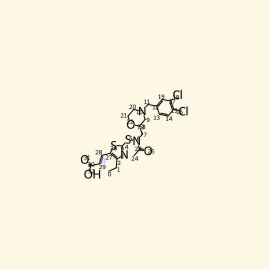 CCc1nc(SN(C[C@@H]2CN(Cc3ccc(Cl)c(Cl)c3)CCO2)C(C)=O)sc1/C=C/C(=O)O